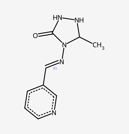 CC1NNC(=O)N1/N=C/c1cccnc1